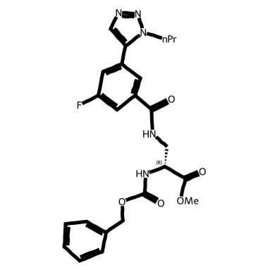 CCCn1nncc1-c1cc(F)cc(C(=O)NC[C@@H](NC(=O)OCc2ccccc2)C(=O)OC)c1